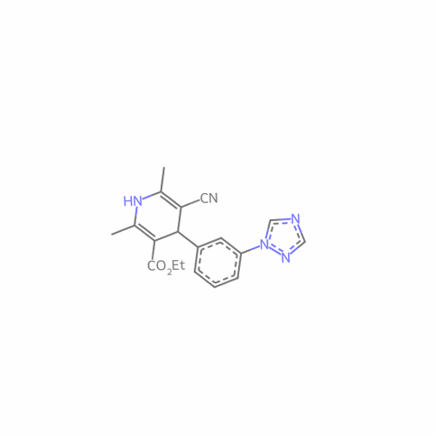 CCOC(=O)C1=C(C)NC(C)=C(C#N)C1c1cccc(-n2cncn2)c1